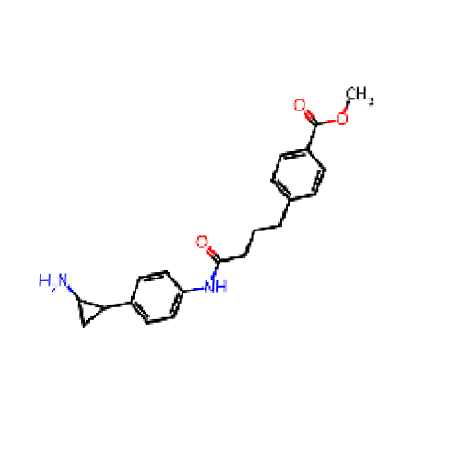 COC(=O)c1ccc(CCCC(=O)Nc2ccc(C3CC3N)cc2)cc1